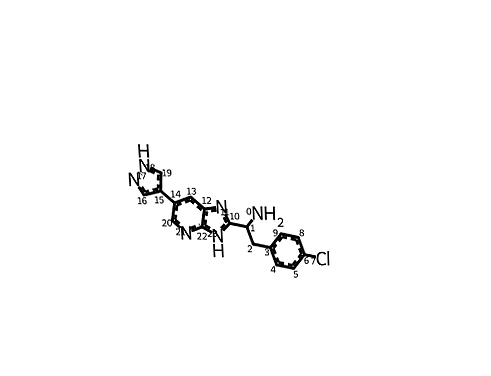 NC(Cc1ccc(Cl)cc1)c1nc2cc(-c3cn[nH]c3)cnc2[nH]1